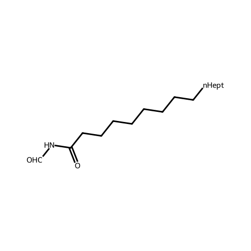 CCCCCCCCCCCCCCCC(=O)NC=O